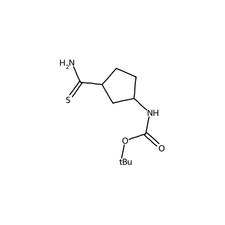 CC(C)(C)OC(=O)NC1CCC(C(N)=S)C1